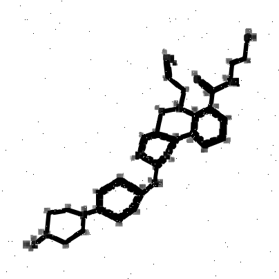 C=CCN1Sc2cnc(Nc3ccc(N4CCN(C)CC4)cc3)nc2-c2cccc(C(=O)NCCO)c21